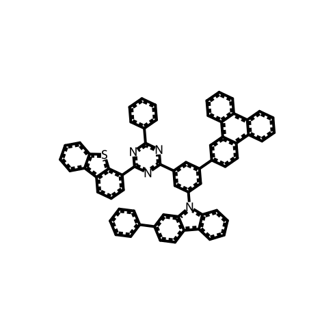 c1ccc(-c2ccc3c4ccccc4n(-c4cc(-c5ccc6c7ccccc7c7ccccc7c6c5)cc(-c5nc(-c6ccccc6)nc(-c6cccc7c6sc6ccccc67)n5)c4)c3c2)cc1